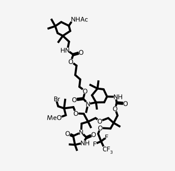 COCC(C)(CBr)COCC(C)(COCC(C)(COCC(F)(F)C(F)(F)F)COC(=O)NC1CC(C)(C)CC(C)(N(C)C(=O)OCCCCOC(=O)NCC2(C)CC(NC(C)=O)CC(C)(C)C2)C1)CN1C(=O)NC(C)(C)C1=O